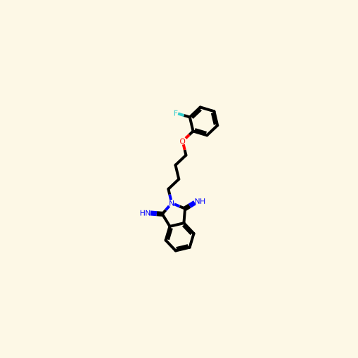 N=C1c2ccccc2C(=N)N1CCCCOc1ccccc1F